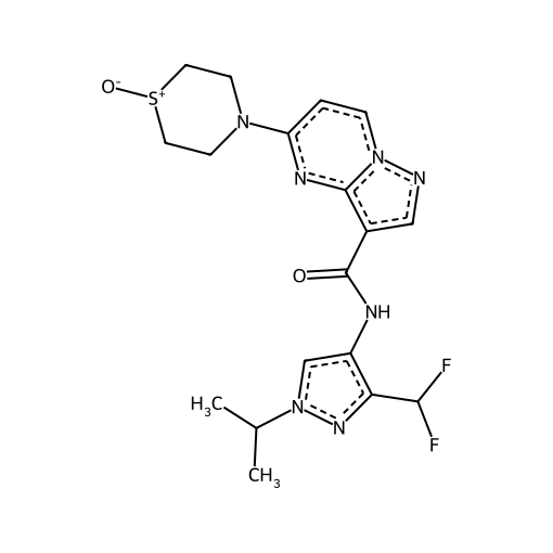 CC(C)n1cc(NC(=O)c2cnn3ccc(N4CC[S+]([O-])CC4)nc23)c(C(F)F)n1